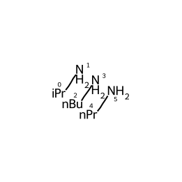 CC(C)N.CCCCN.CCCN